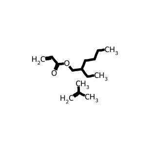 C=C(C)C.C=CC(=O)OCC(CC)CCCC